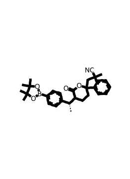 C[C@H](c1ccc(B2OC(C)(C)C(C)(C)O2)cc1)C1CCC(CC(C)(C)C#N)(c2ccccc2)OC1=O